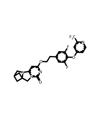 O=c1nc(OCCc2cc(F)c(Oc3ccnc(C(F)(F)F)c3)c(F)c2)cc2n1CC13CC(CN21)C3